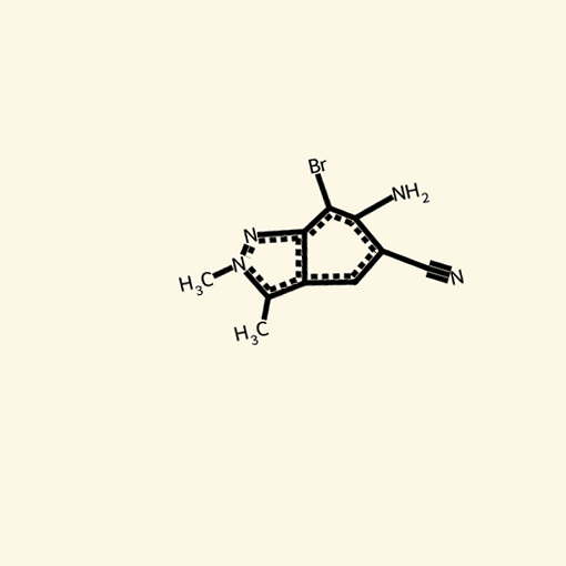 Cc1c2cc(C#N)c(N)c(Br)c2nn1C